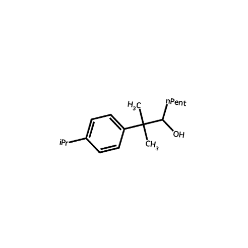 CCCCCC(O)C(C)(C)c1ccc(C(C)C)cc1